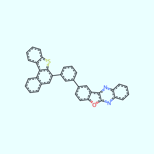 c1cc(-c2ccc3oc4nc5ccccc5nc4c3c2)cc(-c2cc3ccccc3c3c2sc2ccccc23)c1